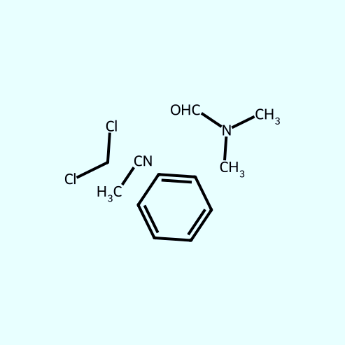 CC#N.CN(C)C=O.ClCCl.c1ccccc1